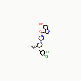 C=C1CN(C2CCN(C(=O)c3ccnc4ccc(O)cc34)CC2)CC[C@@H]1Cc1ccc(Cl)c(Cl)c1